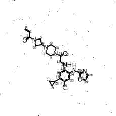 C=CC(=O)N1CC(N2CCN(C(=O)CNc3cc(C4CC4)c(Cl)cc3Nc3ncco3)CC2)C1